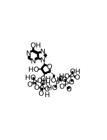 O=P(O)(O)OP(=O)(O)O.O=P(O)(O)OP(=O)(O)OP(=O)(O)OC[C@H]1O[C@@H](n2cnc3c(O)ncnc32)[C@H](O)[C@@H]1O